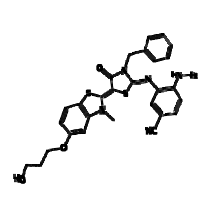 CCNc1ccc(C#N)cc1N=C1SC(=C2Sc3ccc(OCCCO)cc3N2C)C(=O)N1Cc1ccccc1